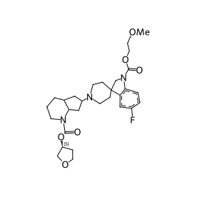 COCCOC(=O)N1CC2(CCN(C3CC4CCCN(C(=O)O[C@H]5CCOC5)C4C3)CC2)c2cc(F)ccc21